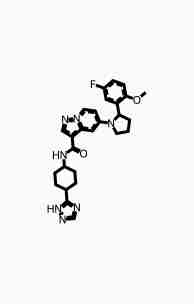 COc1ccc(F)cc1C1CCCN1c1ccn2ncc(C(=O)NC3CCC(c4ncn[nH]4)CC3)c2c1